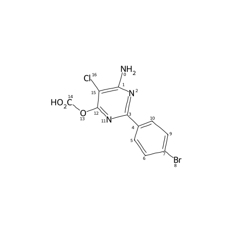 Nc1nc(-c2ccc(Br)cc2)nc(OC(=O)O)c1Cl